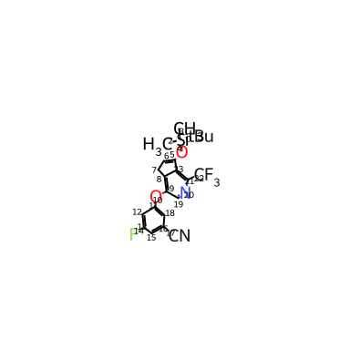 CC(C)(C)[Si](C)(C)OC1=CCc2c(Oc3cc(F)cc(C#N)c3)cnc(C(F)(F)F)c21